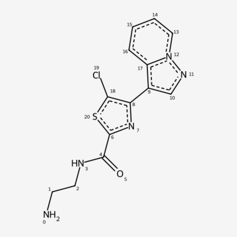 NCCNC(=O)c1nc(-c2cnn3ccccc23)c(Cl)s1